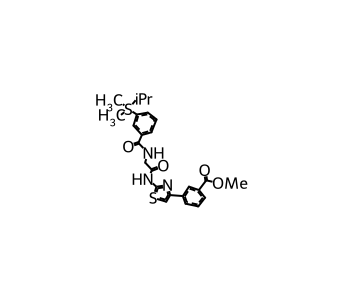 COC(=O)c1cccc(-c2csc(NC(=O)CNC(=O)c3cccc(S(C)(C)C(C)C)c3)n2)c1